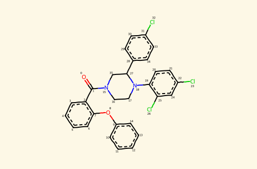 O=C(c1ccccc1Oc1ccccc1)N1CCN(c2ccc(Cl)cc2Cl)C(c2ccc(Cl)cc2)C1